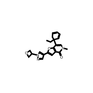 CCC1(c2cn(C)c(=O)c3cc(-c4cnn(C5COC5)c4)oc23)C=CC=CC1